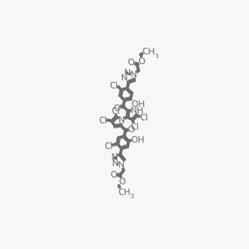 CCOC(=O)Cn1cc(-c2cc(O)c(C(=O)c3[nH]c(Cl)c(Cl)c3-n3c(C(=O)c4cc(Cl)c(-c5cn(CC(=O)OCC)nn5)cc4O)cc(Cl)c3Cl)cc2Cl)nn1